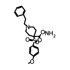 COc1ccc(S(=O)(=O)C2(C(=O)ON)CCN(CCc3ccccc3)CC2)cc1